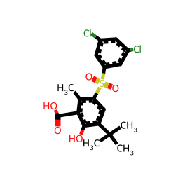 Cc1c(S(=O)(=O)c2cc(Cl)cc(Cl)c2)cc(C(C)(C)C)c(O)c1C(=O)O